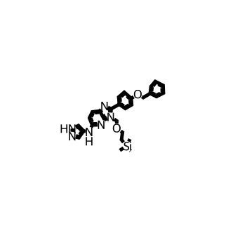 C[Si](C)(C)CCOCn1c(-c2ccc(OCc3ccccc3)cc2)nc2ccc(Nc3cn[nH]c3)nc21